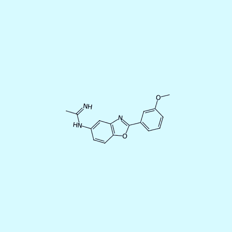 COc1cccc(-c2nc3cc(NC(C)=N)ccc3o2)c1